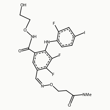 CNC(=O)CCO/N=C\c1cc(C(=O)NOCCO)c(Nc2ccc(I)cc2F)c(F)c1F